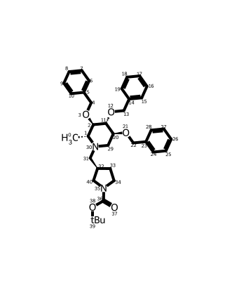 C[C@@H]1[C@@H](OCc2ccccc2)[C@H](OCc2ccccc2)[C@@H](OCc2ccccc2)CN1C[C@H]1CCN(C(=O)OC(C)(C)C)C1